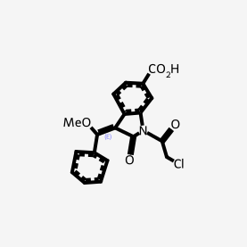 CO/C(=C1/C(=O)N(C(=O)CCl)c2cc(C(=O)O)ccc21)c1ccccc1